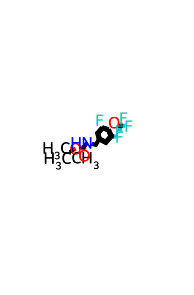 CC(C)(C)OC(=O)NCc1cc(F)c(OC(F)(F)F)c(F)c1